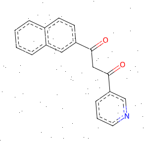 O=C(CC(=O)c1ccc2ccccc2c1)c1cccnc1